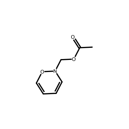 CC(=O)OCN1C=CC=CO1